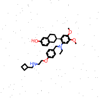 CCN(Cc1ccc(OCCNCC2CCC2)cc1)c1cc(OC)c(OC)cc1[C@@H]1CCc2cc(O)ccc2C1